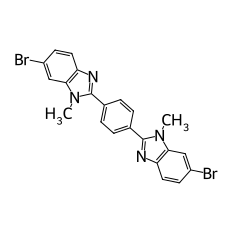 Cn1c(-c2ccc(-c3nc4ccc(Br)cc4n3C)cc2)nc2ccc(Br)cc21